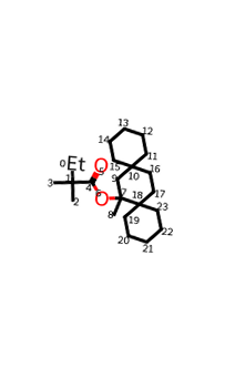 CCC(C)(C)C(=O)OC1(C)CC2(CCCCC2)CCC12CCCCC2